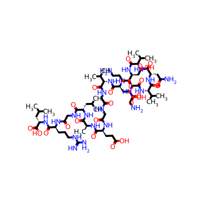 CC(C)C[C@H](NC(=O)[C@H](CCCNC(=N)N)NC(=O)CNC(=O)[C@H](CC(C)C)NC(=O)[C@H](C)NC(=O)[C@H](CCC(=O)O)NC(=O)CNC(=O)CNC(=O)[C@@H](NC(=O)[C@H](CCC(=O)O)NC(=O)[C@H](CC(=O)O)NC(=O)[C@@H](NC(=O)[C@H](CC(N)=O)NC(=O)[C@@H](NC(=O)[C@H](CCCCN)NC(=O)CN)C(C)C)C(C)C)C(C)C)C(=O)O